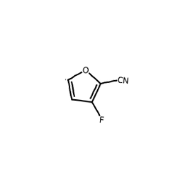 N#Cc1o[c]cc1F